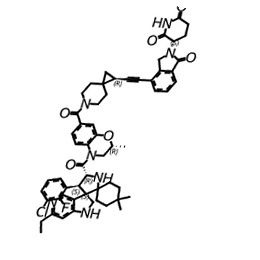 CCc1cc2c(cn1)[C@]1(CN2)[C@@H](c2cccc(Cl)c2F)[C@H](C(=O)N2C[C@@H](C)Oc3cc(C(=O)N4CCC5(CC4)C[C@H]5C#Cc4cccc5c4CN([C@H]4CCC(=O)NC4=O)C5=O)ccc32)NC12CCC(C)(C)CC2